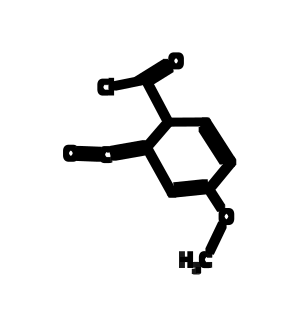 COC1=CC(=C=O)C(C(=O)Cl)C=C1